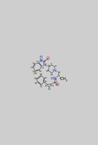 C[C@@H](CN1CCC(n2c(=O)[nH]c3ccc(F)cc32)CC1)NC(=O)C1CC1c1ccccc1